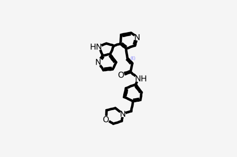 O=C(/C=C/c1cnccc1C1CNc2ncccc21)Nc1ccc(CN2CCOCC2)cc1